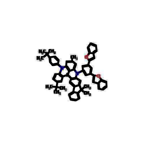 Cc1cc2c3c(c1)N(c1cc(-c4cc5ccccc5o4)cc(-c4cc5ccccc5o4)c1)c1cc4c(cc1B3c1cc(C(C)(C)C)ccc1N2c1ccc(C(C)(C)C)cc1)-c1ccccc1C4(C)C